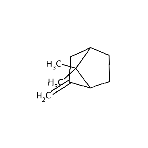 C=C1CC2CC[C]1C2(C)C